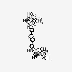 COC(=O)N[C@H](C(=O)N1[C@@H]2C[C@H]2C[C@H]1c1nc2cc(-c3ccc4nc(-c5ccc6[nH]c([C@@H]7C[C@H]8C[C@H]8N7C(=O)[C@@H](NC(=O)O)C(C)C)nc6c5)cnc4c3)ccc2[nH]1)C(C)C